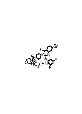 O=C(O)NC[C@@H](c1cc(F)cc(F)c1)c1nc2cc(Br)ccc2c(=O)n1-c1ccc(S(=O)(=O)N2CCOCC2)cc1